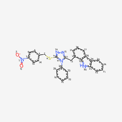 O=[N+]([O-])c1ccc(CSc2nnc(Cc3cccc4c3[nH]c3ccccc34)n2-c2ccccc2)cc1